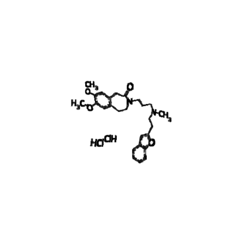 COc1cc2c(cc1OC)CC(=O)N(CCCN(C)CCc1cc3ccccc3o1)CC2.Cl.Cl